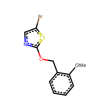 COc1ccccc1COc1ncc(Br)s1